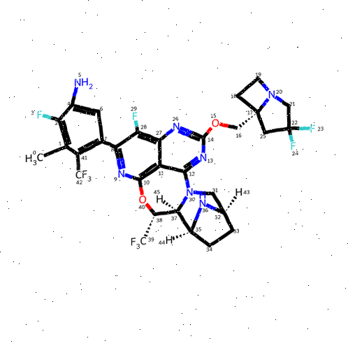 Cc1c(F)c(N)cc(-c2nc3c4c(nc(OC[C@]56CCN5CC(F)(F)C6)nc4c2F)N2C[C@H]4CC[C@H](N4)[C@H]2[C@H](C(F)(F)F)O3)c1C(F)(F)F